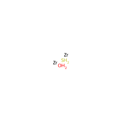 O.S.[Zr].[Zr]